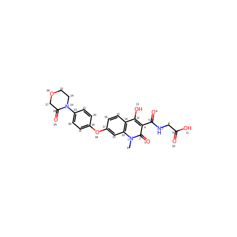 Cn1c(=O)c(C(=O)NCC(=O)O)c(O)c2ccc(Oc3ccc(N4CCOCC4=O)cc3)cc21